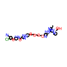 CCc1cnn2c(NCc3ccc(OCCOCCOCCOC4CCN(c5ncc(C(=O)N[C@H]6CC[C@H](Oc7ccc(C#N)c(Cl)c7)CC6)cn5)CC4)nc3)cc(N3CCCC[C@H]3CCO)nc12